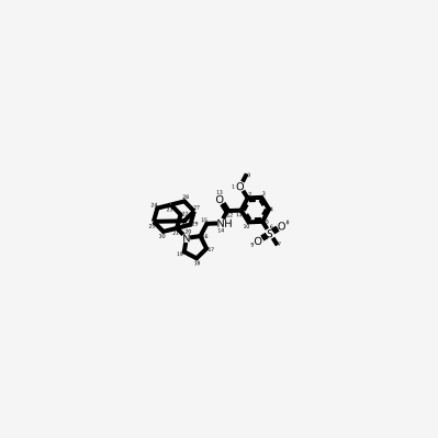 COc1ccc(S(C)(=O)=O)cc1C(=O)NCC1CCCN1C12CC3CC(CC(C3)C1)C2